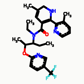 CCC(C(C)Oc1ccc(C(F)(F)F)cn1)N(CC)C(=O)C1=C(c2ncccc2C)NCC(C)=C1